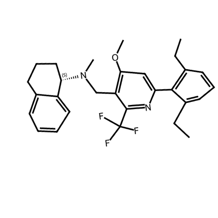 CCc1cccc(CC)c1-c1cc(OC)c(CN(C)[C@H]2CCCc3ccccc32)c(C(F)(F)F)n1